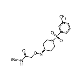 CC(C)(C)NC(=O)CON=C1CCN(S(=O)(=O)c2cccc(C(F)(F)F)c2)CC1